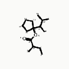 CCC(C)C(=O)OC1(C(C)C(C)C)CCCC1